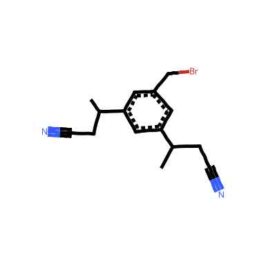 CC(CC#N)c1cc(CBr)cc(C(C)CC#N)c1